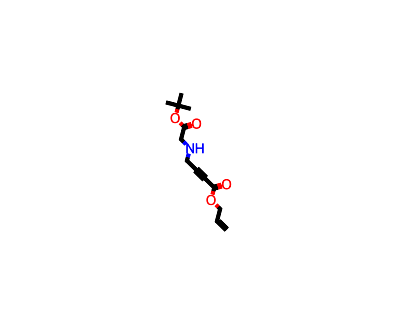 C=CCOC(=O)C#CCNCC(=O)OC(C)(C)C